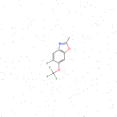 Cc1nc2cc(F)c(OC(F)(F)F)cc2o1